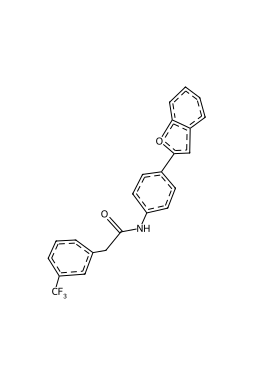 O=C(Cc1cccc(C(F)(F)F)c1)Nc1ccc(-c2cc3ccccc3o2)cc1